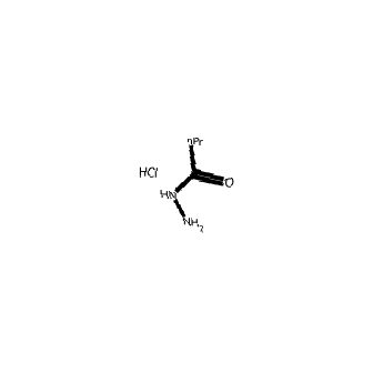 CCCC(=O)NN.Cl